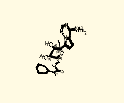 C[C@H](C(=O)OC[C@H]1O[C@@](C)(c2ccc3c(N)ncnn23)[C@H](O)[C@@H]1O)C1CCCCC1